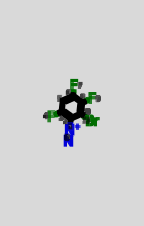 N#[N+]c1c(F)cc(F)c(F)c1Br